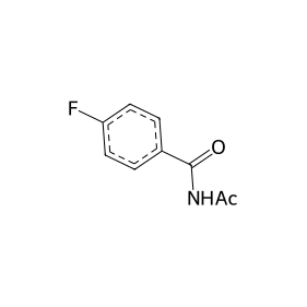 CC(=O)NC(=O)c1ccc(F)cc1